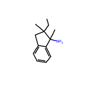 CCC1(C)Cc2ccccc2C1(C)N